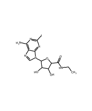 CCNC(=O)C1OC(n2cnc3c(N)nc(I)nc32)C(O)C1O